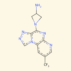 NC1CN(c2nc3ncc(C(F)(F)F)cc3n3cnnc23)C1